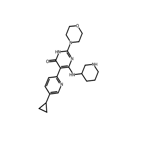 O=c1[nH]c(N2CCOCC2)nc(NC2CCCNC2)c1-c1ccc(C2CC2)cn1